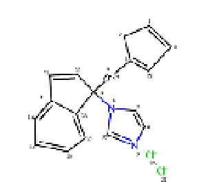 C1=CC[C]([Zr+2][C]2(n3ccnc3)C=Cc3ccccc32)=C1.[Cl-].[Cl-]